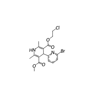 COC(=O)C1=C(C)NC(C)=C(C(=O)OCCCl)C1c1cccc(Br)n1